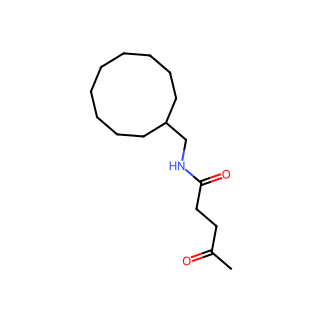 CC(=O)CCC(=O)NCC1CCCCCCCCC1